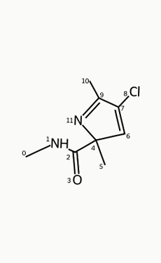 CNC(=O)C1(C)C=C(Cl)C(C)=N1